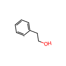 OCCc1[c]cccc1